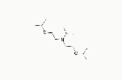 CC(C)OCCN(CCOC(C)C)C(C)C